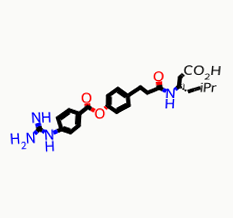 CC(C)C[C@@H](CC(=O)O)NC(=O)CCc1ccc(OC(=O)c2ccc(NC(=N)N)cc2)cc1